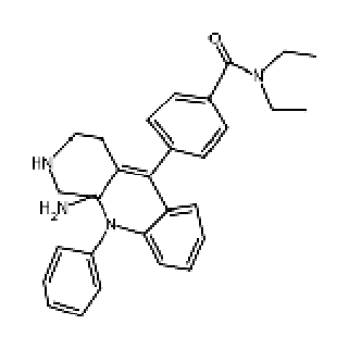 CCN(CC)C(=O)c1ccc(C(=C2CCNCC2)c2ccccc2N(CN)c2ccccc2)cc1